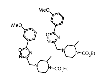 CCOC(=O)N1CCN(Cc2noc(-c3cccc(OC)c3)n2)CC1C.CCOC(=O)N1CCN(Cc2noc(-c3cccc(OC)c3)n2)CC1C